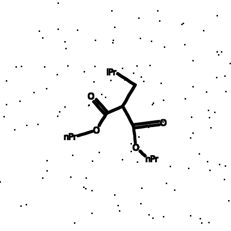 CCCOC(=O)C(CC(C)C)C(=O)OCCC